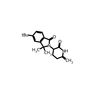 C=C1CCC(N2C(=O)c3ccc(C(C)(C)C)cc3C2(C)C)C(=O)N1